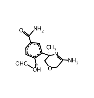 C[C@@]1(c2cc(C(N)=O)ccc2F)COCC(N)=N1.O=CO